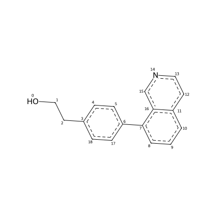 OCCc1ccc(-c2cccc3ccncc23)cc1